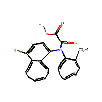 CC(C)(C)OC(=O)C(=O)N(c1ccccc1C(=O)O)c1ccc(Br)c2ccccc12